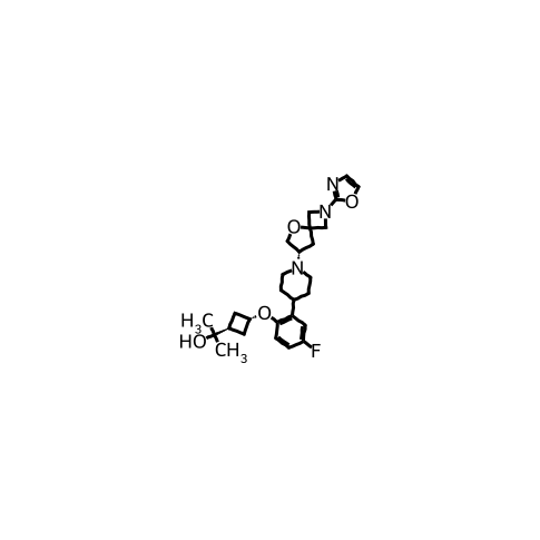 CC(C)(O)[C@H]1C[C@H](Oc2ccc(F)cc2C2CCN([C@@H]3COC4(C3)CN(c3ncco3)C4)CC2)C1